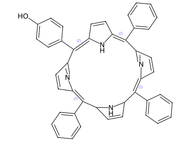 Oc1ccc(/C2=c3\cc/c([nH]3)=C(\c3ccccc3)C3=N/C(=C(/c4ccccc4)C4C=CC(N4)/C(c4ccccc4)=C4/C=CC2=N4)C=C3)cc1